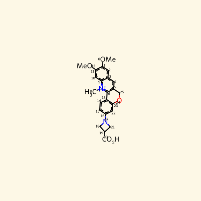 COc1cc2cc3c([n+](C)c2cc1OC)-c1ccc(N2CC(C(=O)O)C2)cc1OC3